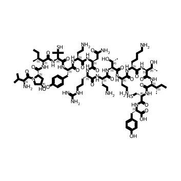 CC[C@H](C)[C@H](NC(=O)[C@@H](NC(=O)[C@H](CCCCN)NC(=O)[C@@H](CCN)NC(=O)[C@@H](NC(=O)[C@H](CCN)NC(=O)[C@H](CCCNC(=N)N)NC(=O)[C@H](CC(N)=O)NC(=O)[C@H](CCN)NC(=O)[C@H](Cc1ccc(O)cc1)NC(=O)[C@@H](NC(=O)[C@@H](NC(=O)[C@@H]1C[C@@H](O)CN1C(=O)[C@@H](N)C(C)C)[C@@H](C)CC)C(C)(C)S)[C@@H](C)O)[C@@H](C)O)C(=O)N[C@@H](CS)C(=O)N[C@@H](Cc1ccc(O)cc1)C(=O)O